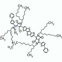 CCCCCCCCC(CCCCC)CN1C(=O)C2=C(c3cc4sc5c6sc(C7=C(C=O)/C(=C(/c8ccc(-c9ccccc9)s8)N(C)CC(CCCCCC)CCCCCCCC)C(=O)N7CC(CCCCCC)CCCCCCCC)cc6sc5c4s3)N(CC(CCCCCC)CCCCCCCC)C(=O)C2=C1c1ccc(-c2ccccc2)s1